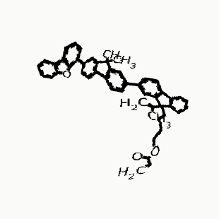 C=CC(=O)OCCCCC1(C(=C)C)c2ccccc2-c2ccc(-c3ccc4c(c3)C(C)(C)c3cc(-c5cccc6c5oc5ccccc56)ccc3-4)cc21